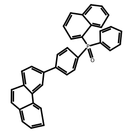 O=P(c1ccccc1)(c1ccc(-c2ccc3ccc4ccccc4c3c2)cc1)c1cccc2ccccc12